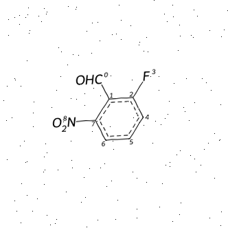 O=Cc1c(F)cccc1[N+](=O)[O-]